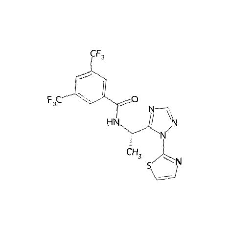 C[C@H](NC(=O)c1cc(C(F)(F)F)cc(C(F)(F)F)c1)c1ncnn1-c1nccs1